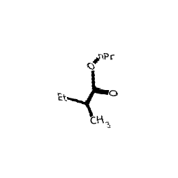 [CH2]CC(C)C(=O)OCCC